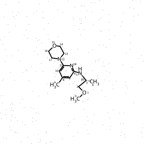 COC[C@@H](C)Nc1cc(C)cc(N2CCOCC2)n1